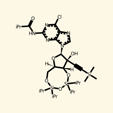 CC(C)C(=O)Nc1nc(Cl)c2ncn([C@@H]3O[C@@H]4CO[Si](C(C)C)(C(C)C)O[Si](C(C)C)(C(C)C)O[C@H]4[C@@]3(O)C#C[Si](C)(C)C)c2n1